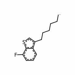 [CH2]CCCCCc1csc2c(F)cccc12